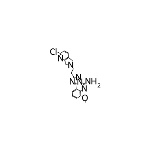 COc1cccc2c1nc(N)n1nc(CCN3Cc4ccc(Cl)nc4C3)nc21